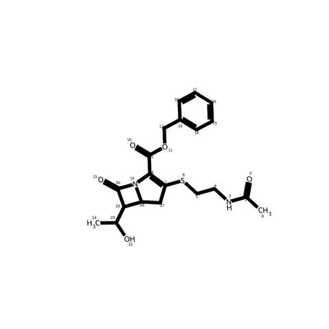 CC(=O)NCCSC1=C(C(=O)OCc2ccccc2)N2C(=O)C(C(C)O)C2C1